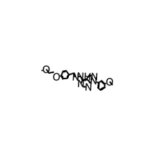 COCCOc1ccc(/C=N/Nc2ncnc3c2cnn3-c2cccc(OC)c2)cc1